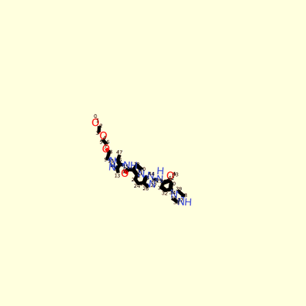 COCCOCCOCCn1nc(C)c(NC(=O)c2ccn3c2CCc2cnc(Nc4ccc(N5CCNCC5)cc4OC)nc2-3)c1C